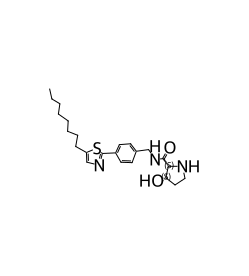 CCCCCCCCc1cnc(-c2ccc(CNC(=O)[C@H]3NCC[C@@H]3O)cc2)s1